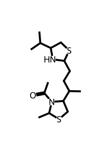 CC(=O)N1C(C)SCC1C(C)CCC1NC(C(C)C)CS1